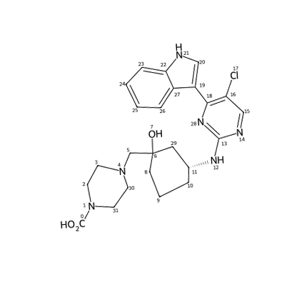 O=C(O)N1CCN(CC2(O)CCC[C@@H](Nc3ncc(Cl)c(-c4c[nH]c5ccccc45)n3)C2)CC1